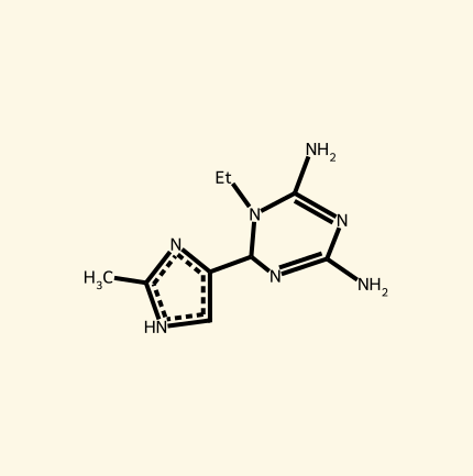 CCN1C(N)=NC(N)=NC1c1c[nH]c(C)n1